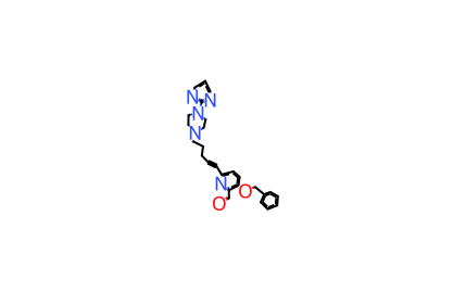 O=Cc1nc(C#CCCCN2CCN(c3ncccn3)CC2)ccc1OCc1ccccc1